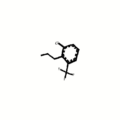 CCCc1c(Cl)cccc1C(F)(F)F